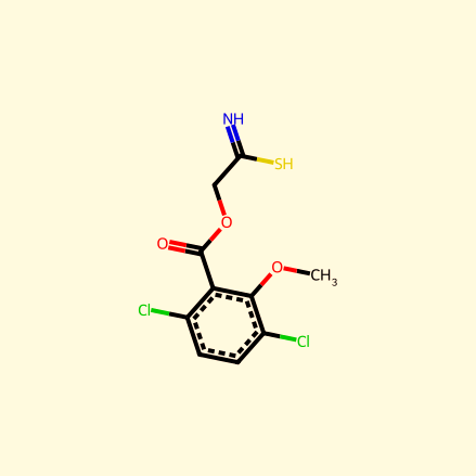 COc1c(Cl)ccc(Cl)c1C(=O)OCC(=N)S